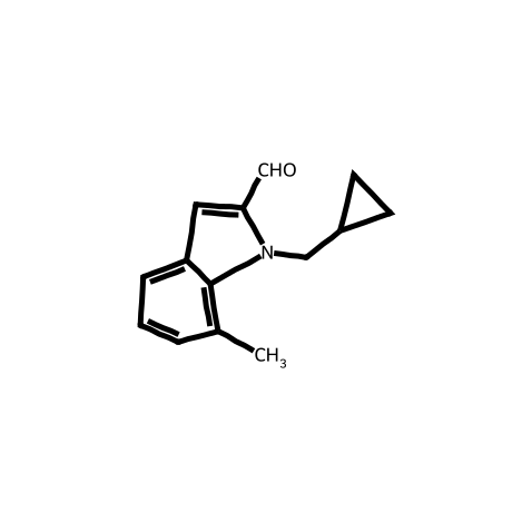 Cc1cccc2cc(C=O)n(CC3CC3)c12